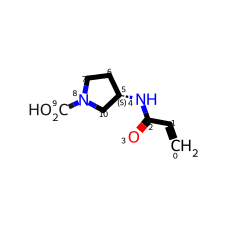 C=CC(=O)N[C@H]1CCN(C(=O)O)C1